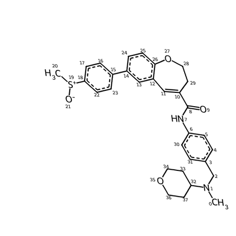 CN(Cc1ccc(NC(=O)C2=Cc3cc(-c4ccc([S+](C)[O-])cc4)ccc3OCC2)cc1)C1CCOCC1